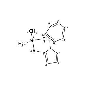 C[Si](C)(C)[V][C]1=CC=CC1.c1ccccc1